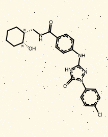 O=C(NC[C@H]1CCCC[C@H]1O)c1ccc(Nc2nn(-c3ccc(Cl)cc3)c(=O)[nH]2)cc1